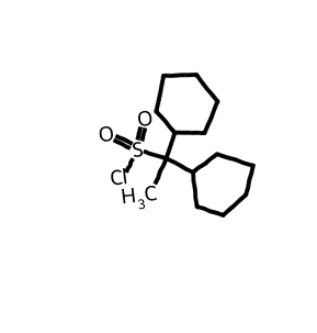 CC(C1CCCCC1)(C1CCCCC1)S(=O)(=O)Cl